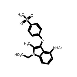 CC(=O)Nc1cccc2c1c(Sc1ccc(S(C)(=O)=O)cc1)c(C)n2CC(=O)O